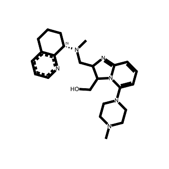 CN1CCN(C2=CC=CC3=NC(CN(C)[C@H]4CCCc5cccnc54)C(CO)N23)CC1